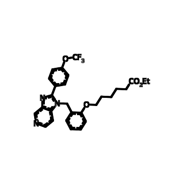 CCOC(=O)CCCCCOc1ccccc1Cn1c(-c2ccc(OC(F)(F)F)cc2)nc2cnccc21